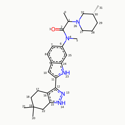 CC(C(=O)N(C)c1ccc2cc(-c3n[nH]c4c3CCC(C)(C)C4)[nH]c2c1)N1CCC[C@@H](C)C1